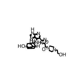 O=C(c1nc(-c2cnc3[nH]cnc3c2N[C@H]2[C@@H]3CC4C[C@H]2C[C@@](O)(C4)C3)no1)N1CCN(CCO)CC1